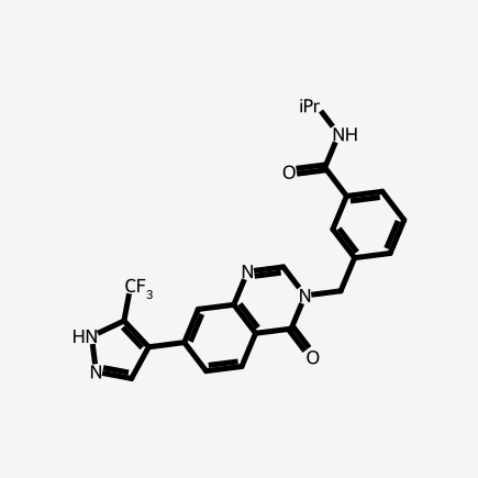 CC(C)NC(=O)c1cccc(Cn2cnc3cc(-c4cn[nH]c4C(F)(F)F)ccc3c2=O)c1